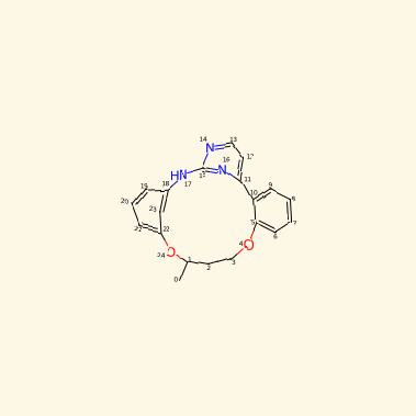 CC1CCOc2ccccc2-c2ccnc(n2)Nc2cccc(c2)O1